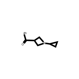 CC(C)C(=O)C1CN(C2CC2)C1